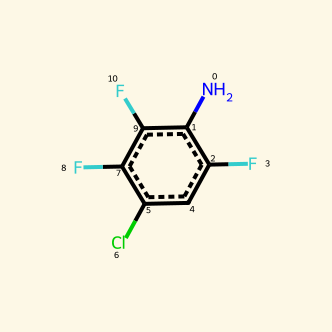 Nc1c(F)cc(Cl)c(F)c1F